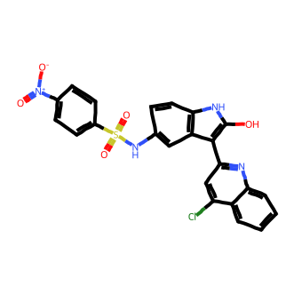 O=[N+]([O-])c1ccc(S(=O)(=O)Nc2ccc3[nH]c(O)c(-c4cc(Cl)c5ccccc5n4)c3c2)cc1